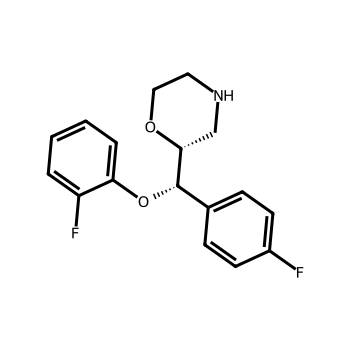 Fc1ccc([C@H](Oc2ccccc2F)[C@H]2CNCCO2)cc1